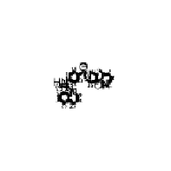 Cc1cccnc1C1(O)CCN(C(=O)c2ccc(NS(=O)(=O)c3cccc4cccnc34)cc2)CC1